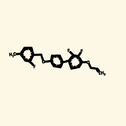 C=CCOc1ccc(-c2ccc(OCc3ccc(C)cc3F)cc2)c(F)c1F